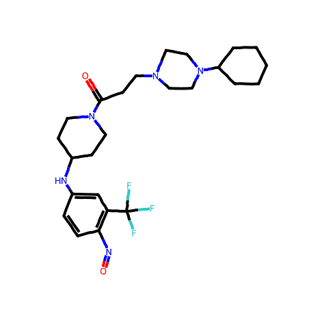 O=Nc1ccc(NC2CCN(C(=O)CCN3CCN(C4CCCCC4)CC3)CC2)cc1C(F)(F)F